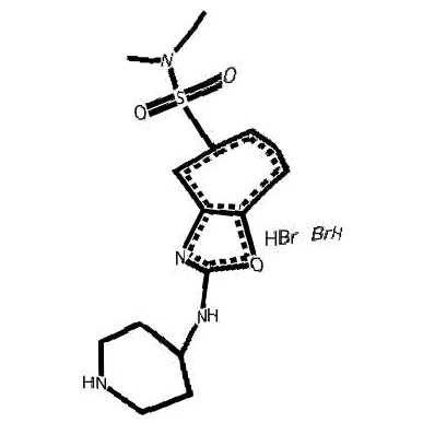 Br.Br.CN(C)S(=O)(=O)c1ccc2oc(NC3CCNCC3)nc2c1